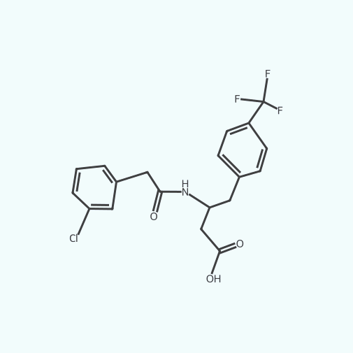 O=C(O)CC(Cc1ccc(C(F)(F)F)cc1)NC(=O)Cc1cccc(Cl)c1